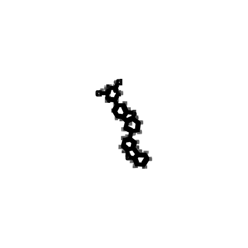 Clc1nc(Cl)nc(-c2ccc3c(c2)sc2ccc(-c4ccc5oc6ccccc6c5c4)cc23)n1